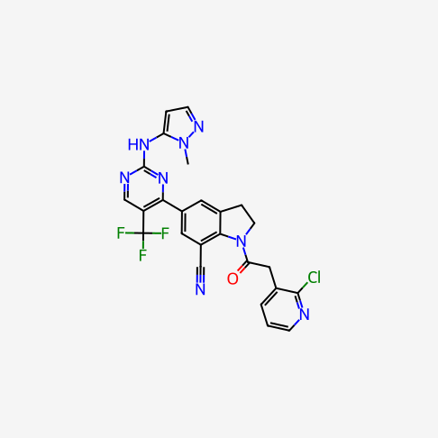 Cn1nccc1Nc1ncc(C(F)(F)F)c(-c2cc(C#N)c3c(c2)CCN3C(=O)Cc2cccnc2Cl)n1